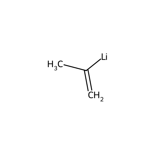 [Li][C](=C)C